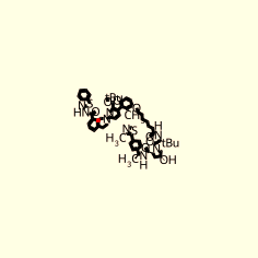 Cc1ncsc1-c1ccc([C@H](C)NC(=O)[C@@H]2C[C@@H](O)CN2C(=O)C(NC(=O)CCCCCCOc2cccc(-c3ccc(N4CCc5cccc(C(=O)Nc6nc7ccccc7s6)c5C4)nc3C(=O)OC(C)(C)C)c2C)C(C)(C)C)cc1